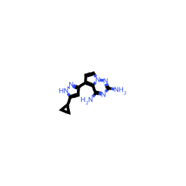 Nc1nc(N)c2c(-c3cc(C4CC4)[nH]n3)ccn2n1